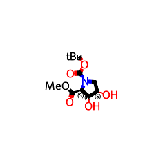 COC(=O)[C@@H]1[C@@H](O)[C@@H](O)CN1C(=O)OC(C)(C)C